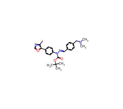 CN(C)Cc1ccc(/C=N/N(C(=O)OC(C)(C)C)c2ccc(-c3ocnc3I)cc2)cc1